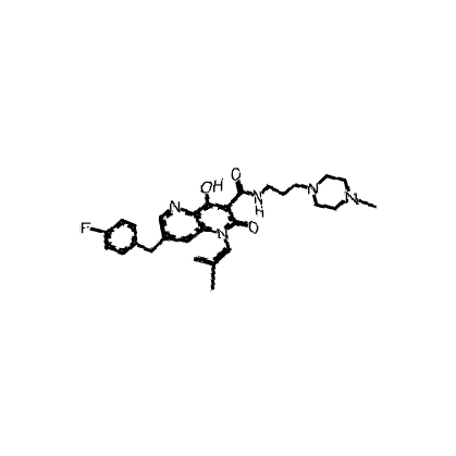 CC(C)=Cn1c(=O)c(C(=O)NCCCN2CCN(C)CC2)c(O)c2ncc(Cc3ccc(F)cc3)cc21